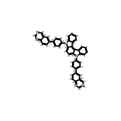 c1ccc2c(c1)c1c3c4ccccc4n(-c4ccc(-c5ccc6ncncc6c5)cc4)c3ccc1n2-c1ccc(-c2ccc3ncncc3c2)cc1